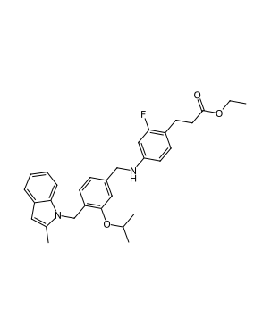 CCOC(=O)CCc1ccc(NCc2ccc(Cn3c(C)cc4ccccc43)c(OC(C)C)c2)cc1F